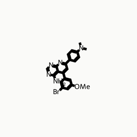 COc1cc(Br)cc(-c2cc(-c3ccc(N(C)C)cc3)nc3ncnc(N)c23)c1